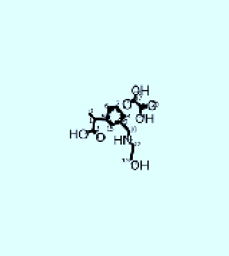 CC(C(=O)O)c1cccc(CNCCO)c1.O=C(O)C(=O)O